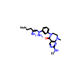 CCNc1ncc2c(n1)N(C)CCN(c1cccc(N(N)/C=C(\N)CCNC)c1)C2=O